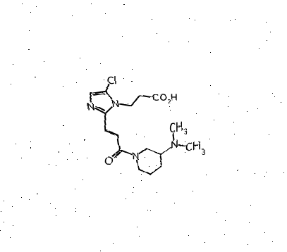 CN(C)C1CCCN(C(=O)CCc2ncc(Cl)n2CCC(=O)O)C1